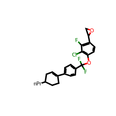 CCCC1CC=C(c2ccc(C(F)(F)Oc3ccc(C4CO4)c(F)c3Cl)cc2)CC1